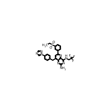 CCS(=O)(=O)c1cccc(-c2cc(Cc3ccc(-n4cncn4)cc3)c3nc(N)nc(NCC(F)(F)F)c3n2)c1